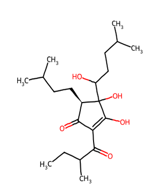 CCC(C)C(=O)C1=C(O)C(O)(C(O)CCC(C)C)[C@H](CCC(C)C)C1=O